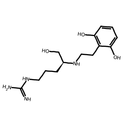 N=C(N)NCCC[C@@H](CO)NCCc1c(O)cccc1O